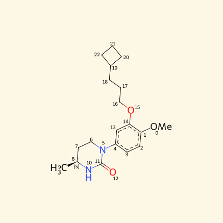 COc1ccc(N2CC[C@H](C)NC2=O)cc1OCCCC1CCC1